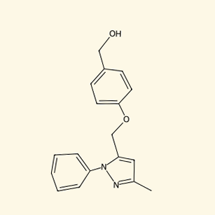 Cc1cc(COc2ccc(CO)cc2)n(-c2ccccc2)n1